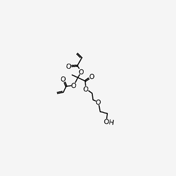 C=CC(=O)OC(C)(OC(=O)C=C)C(=O)OCCOCCO